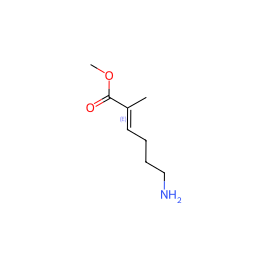 COC(=O)/C(C)=C/CCCN